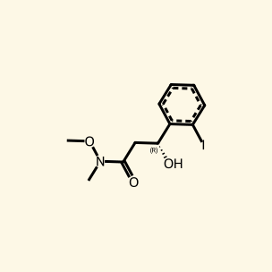 CON(C)C(=O)C[C@@H](O)c1ccccc1I